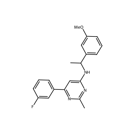 COc1cccc(C(C)Nc2cc(-c3cccc(F)c3)nc(C)n2)c1